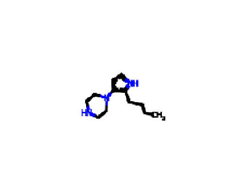 CCCCc1[nH]ccc1N1CCNCC1